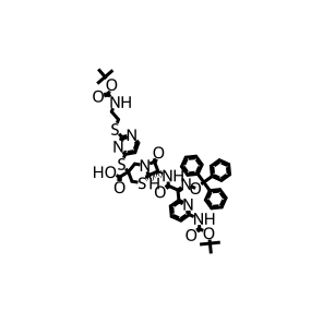 CC(C)(C)OC(=O)NCCSc1nccc(SC2(C(=O)O)CS[C@@H]3[C@H](NC(=O)C(=NOC(c4ccccc4)(c4ccccc4)c4ccccc4)c4cccc(NC(=O)OC(C)(C)C)n4)C(=O)N3C2)n1